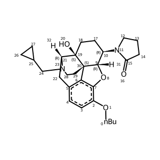 CCCCOc1ccc2c3c1O[C@H]1[C@H](N4CCCC4=O)CC[C@@]4(O)[C@@H](C2)N(CC2CC2)CC[C@]314